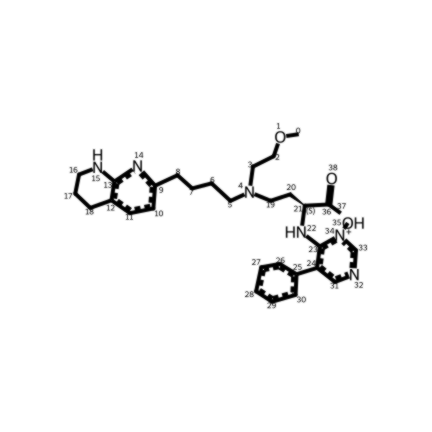 COCCN(CCCCc1ccc2c(n1)NCCC2)CC[C@H](Nc1c(-c2ccccc2)cnc[n+]1O)C(C)=O